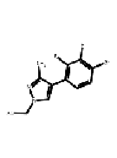 CC(=O)Cn1cc(-c2ccc(Br)c(F)c2F)c(C(F)(F)F)n1